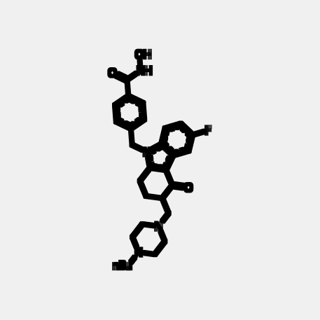 CCCCN1CCN(CC2CCc3c(c4cc(F)ccc4n3Cc3ccc(C(=O)NO)cc3)C2=O)CC1